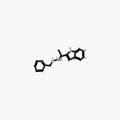 CC(NOCc1ccccc1)c1cc2ccccc2s1